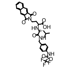 CC(C)C[C@@H](NC(CCN1C(=O)c2cc3ccccc3cc2C1=O)C(=O)O)C(=O)NCc1ccc(NS(=O)(=O)C(F)(F)F)cc1